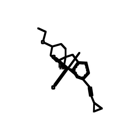 CCOC1CCC2(CC1)Cc1ccc(C#CC3CC3)cc1C21NC(=O)NC1=O